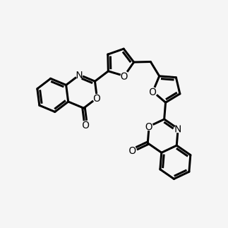 O=c1oc(-c2ccc(Cc3ccc(-c4nc5ccccc5c(=O)o4)o3)o2)nc2ccccc12